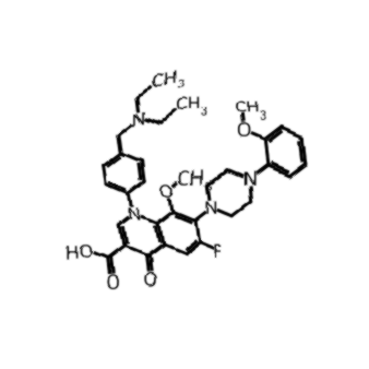 CCN(CC)Cc1ccc(-n2cc(C(=O)O)c(=O)c3cc(F)c(N4CCN(c5ccccc5OC)CC4)c(OC)c32)cc1